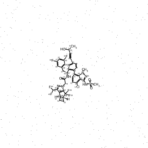 C[C@H](O)C#Cc1ccc(-c2ccc(Cl)c3c(NS(C)(=O)=O)nn(C)c23)c([C@H](Cc2cc(F)cc(F)c2)NC(=O)Cn2nc(C(F)F)c3c2C(F)(F)[C@@H]2CC[C@H]32)n1